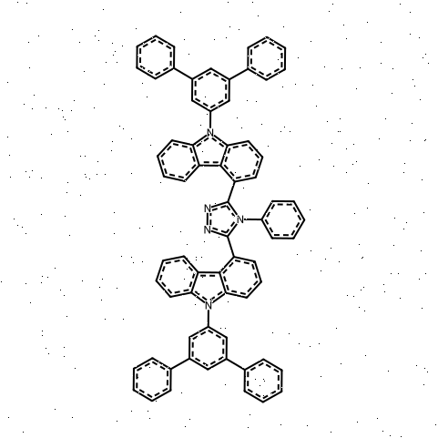 c1ccc(-c2cc(-c3ccccc3)cc(-n3c4ccccc4c4c(-c5nnc(-c6cccc7c6c6ccccc6n7-c6cc(-c7ccccc7)cc(-c7ccccc7)c6)n5-c5ccccc5)cccc43)c2)cc1